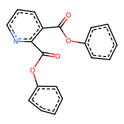 O=C(Oc1ccccc1)c1cccnc1C(=O)Oc1ccccc1